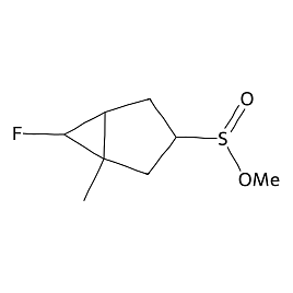 COS(=O)C1CC2C(F)C2(C)C1